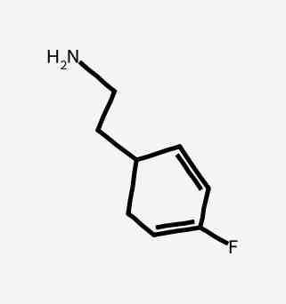 NCCC1C=CC(F)=CC1